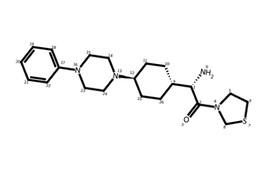 N[C@H](C(=O)N1CCSC1)[C@H]1CC[C@H](N2CCN(c3ccccc3)CC2)CC1